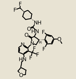 COc1cc(F)c([C@@H]2CN(c3nccc(NCC4CCOC4)c3C(F)(F)F)C(=O)C2NC(=O)N[C@H]2CC[C@H](C(F)F)CC2)c(F)c1